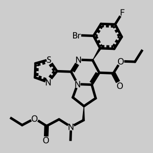 CCOC(=O)CN(C)C[C@@H]1CC2=C(C(=O)OCC)[C@H](c3ccc(F)cc3Br)N=C(c3nccs3)N2C1